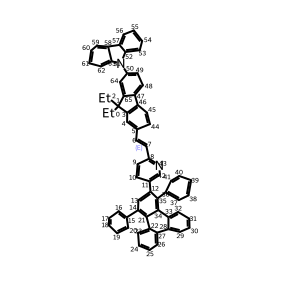 CCC1(CC)c2cc(/C=C/c3ccc(-c4cc(-c5ccccc5)c5c6ccccc6c6ccccc6c5c4-c4ccccc4)cn3)ccc2-c2ccc(-n3c4ccccc4c4ccccc43)cc21